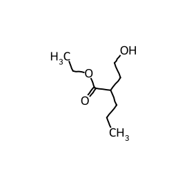 CCCC(CCO)C(=O)OCC